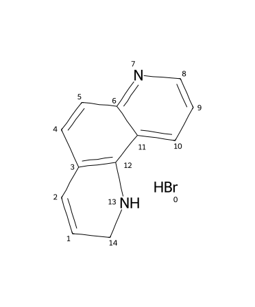 Br.C1=Cc2ccc3ncccc3c2NC1